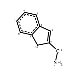 [SiH3]OC1=Cc2ccccc2[CH]1